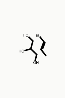 CC=CCC.OCC(O)CO